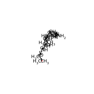 CC(C)=CCCC(C)=CC(=O)SCCNC(=O)CCNC(=O)[C@H](O)C(C)(C)COP(=O)(O)OP(=O)(O)OC[C@H]1O[C@@H](n2cnc3c(N)ncnc32)[C@H](O)[C@@H]1OP(=O)(O)O